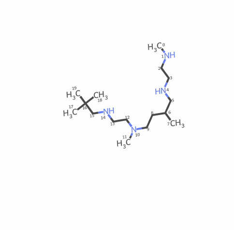 CNCCNCC(C)CCN(C)CCNCC(C)(C)C